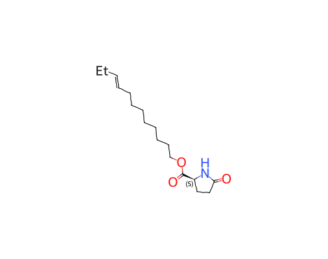 CCC=CCCCCCCCCOC(=O)[C@@H]1CCC(=O)N1